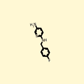 Nc1ccc(NCc2ccc(F)cc2)nc1